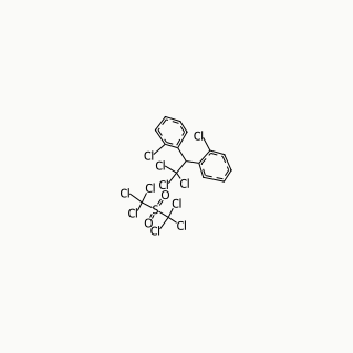 Clc1ccccc1C(c1ccccc1Cl)C(Cl)(Cl)Cl.O=S(=O)(C(Cl)(Cl)Cl)C(Cl)(Cl)Cl